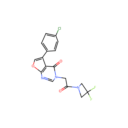 O=C(Cn1cnc2occ(-c3ccc(Cl)cc3)c2c1=O)N1CC(F)(F)C1